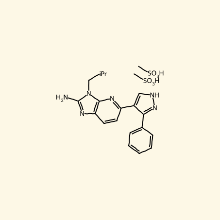 CC(C)Cn1c(N)nc2ccc(-c3c[nH]nc3-c3ccccc3)nc21.CS(=O)(=O)O.CS(=O)(=O)O